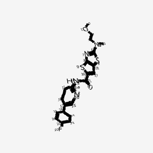 COCCN(C)c1nc2sc(C(=O)Nc3ccc(-c4ccc(F)cc4)cn3)cc2s1